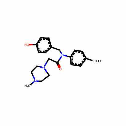 CCOC(=O)c1ccc(N(Cc2ccc(O)cc2)C(=O)CN2CCN(C)CC2)cc1